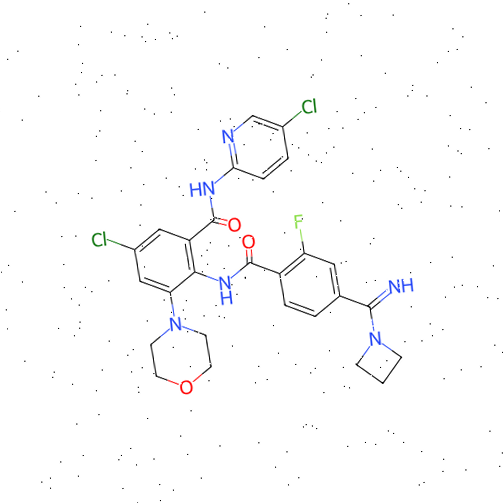 N=C(c1ccc(C(=O)Nc2c(C(=O)Nc3ccc(Cl)cn3)cc(Cl)cc2N2CCOCC2)c(F)c1)N1CCC1